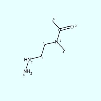 CC(=O)N(C)CCNN